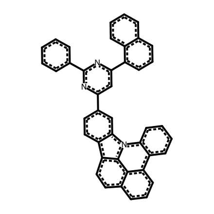 c1ccc(-c2nc(-c3ccc4c5ccc6cccc7c8ccccc8n(c4c3)c5c67)cc(-c3cccc4ccccc34)n2)cc1